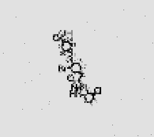 O=C1N=C(Nc2cccc(Cl)c2Cl)S/C1=C/c1ccc(OCc2ccc(C(=O)O)cc2)c(Br)c1